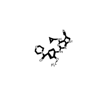 COc1cc(C(=O)N2CCOCC2)ccc1Nc1nc(NC2CC2)c2c(C#N)c[nH]c2n1